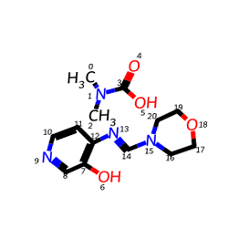 CN(C)C(=O)O.Oc1cnccc1/N=C/N1CCOCC1